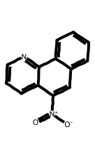 O=[N+]([O-])c1cc2ccccc2c2ncccc12